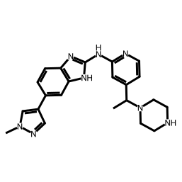 CC(c1ccnc(Nc2nc3ccc(-c4cnn(C)c4)cc3[nH]2)c1)N1CCNCC1